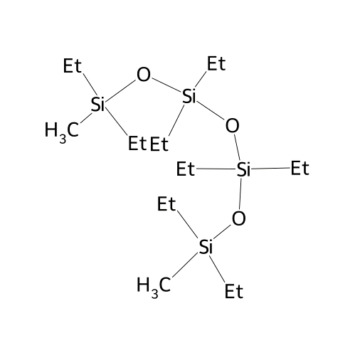 CC[Si](C)(CC)O[Si](CC)(CC)O[Si](CC)(CC)O[Si](C)(CC)CC